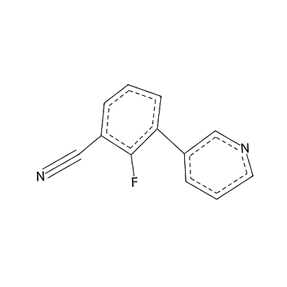 N#Cc1cccc(-c2cccnc2)c1F